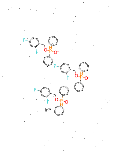 [Ir+3].[O-][PH](OCc1ccc(F)cc1F)(c1ccccc1)c1ccccc1.[O-][PH](OCc1ccc(F)cc1F)(c1ccccc1)c1ccccc1.[O-][PH](OCc1ccc(F)cc1F)(c1ccccc1)c1ccccc1